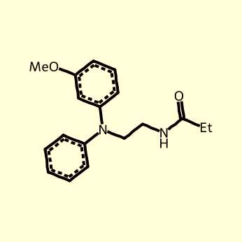 CCC(=O)NCCN(c1ccccc1)c1cccc(OC)c1